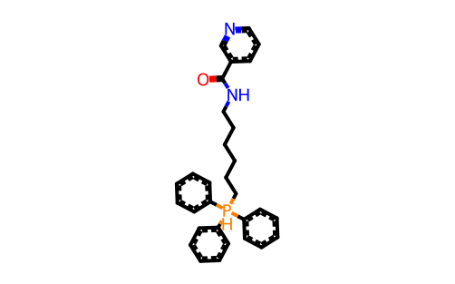 O=C(NCCCCCC[PH](c1ccccc1)(c1ccccc1)c1ccccc1)c1cccnc1